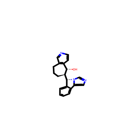 O[C@H]1c2ccncc2CCC[C@@H]1[C@H]1c2ccccc2-c2cncn21